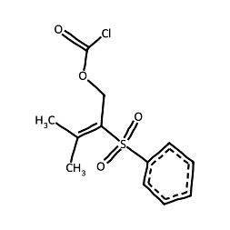 CC(C)=C(COC(=O)Cl)S(=O)(=O)c1ccccc1